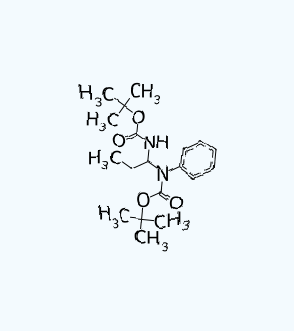 CCC(NC(=O)OC(C)(C)C)N(C(=O)OC(C)(C)C)c1ccccc1